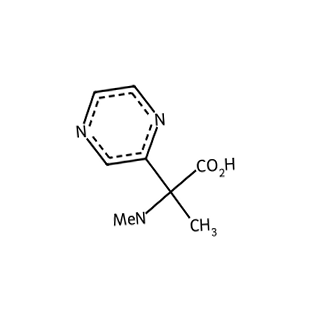 CNC(C)(C(=O)O)c1cnccn1